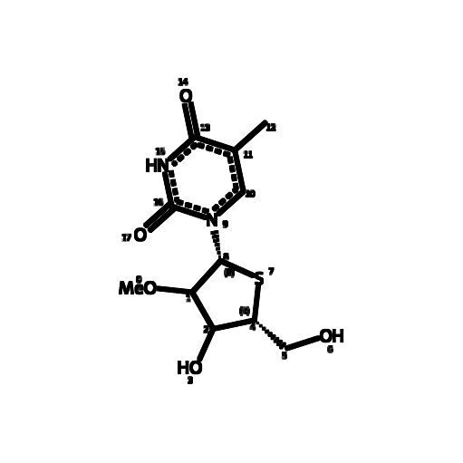 COC1C(O)[C@@H](CO)S[C@H]1n1cc(C)c(=O)[nH]c1=O